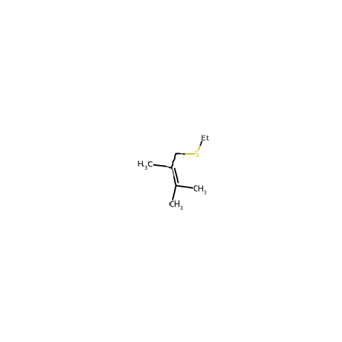 [CH2]CSCC(C)=C(C)C